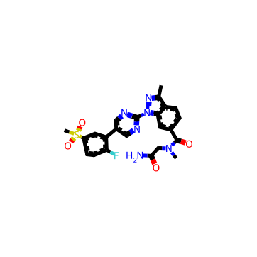 Cc1nn(-c2ncc(-c3cc(S(C)(=O)=O)ccc3F)cn2)c2cc(C(=O)N(C)CC(N)=O)ccc12